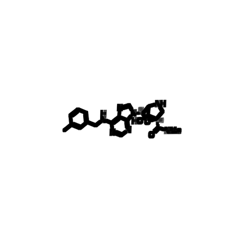 CNC(=O)[C@@]12CNC(C1O)[C@@H](n1cnc3c(NCc4cccc(C)c4)ncnc31)O2